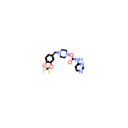 O=C(Nc1ccncn1)ON1CCN(Cc2ccc3c(c2)OC(F)(F)O3)CC1